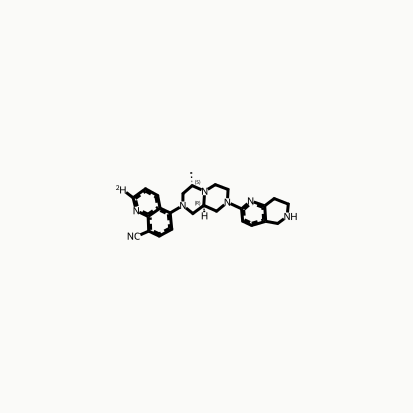 [2H]c1ccc2c(N3C[C@@H]4CN(c5ccc6c(n5)CCNC6)CCN4[C@@H](C)C3)ccc(C#N)c2n1